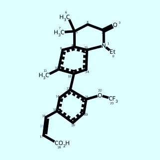 CCN1C(=O)CC(C)(C)c2cc(C)c(-c3cc(/C=C\C(=O)O)ccc3OC(F)(F)F)cc21